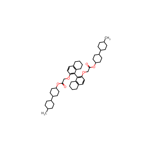 CC1CCC(C2CCC(OC(=O)COc3ccc4c(c3-c3c(OCC(=O)OC5CCC(C6CCC(C)CC6)CC5)ccc5c3CCCC5)CCCC4)CC2)CC1